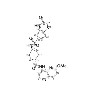 COc1ccc2nccc(NC(=O)[C@H]3CC[C@H](NS(=O)(=O)c4ccc5c(c4)NC(=O)CS5)CC3)c2n1